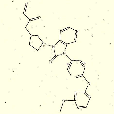 C=CC(=O)CN1CC[C@@H](n2c(=O)n(C(/C=C\C(=C)Oc3cccc(OC)c3)=C/C)c3cnccc32)C1